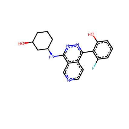 Oc1cccc(F)c1-c1nnc(N[C@@H]2CCC[C@H](O)C2)c2cnccc12